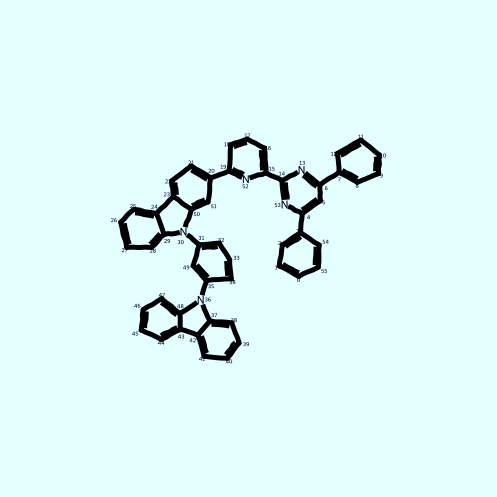 c1ccc(-c2cc(-c3ccccc3)nc(-c3cccc(-c4ccc5c6ccccc6n(-c6cccc(-n7c8ccccc8c8ccccc87)c6)c5c4)n3)n2)cc1